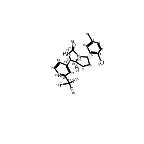 Cc1ccc(Cl)c([C@@H]2CC[C@H]3[C@@H](c4ccnc(C(F)(F)F)c4)NC(=O)N23)c1